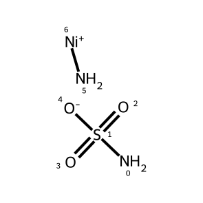 NS(=O)(=O)[O-].[NH2][Ni+]